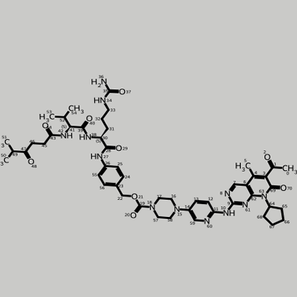 CC(=O)c1c(C)c2cnc(Nc3ccc(N4CCN(C(=O)OCc5ccc(NC(=O)[C@H](CCCNC(N)=O)NC(=O)[C@@H](NC(=O)CCC(=O)C(C)C)C(C)C)cc5)CC4)cn3)nc2n(C2CCCC2)c1=O